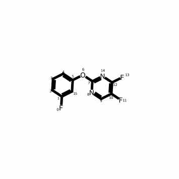 Fc1cccc(Oc2ncc(F)c(F)n2)c1